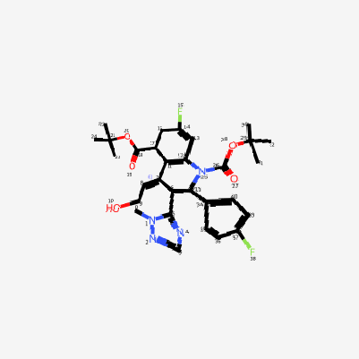 Cn1ncnc1C1/C(=C\CO)C2=C(C=C(F)CC2C(=O)OC(C)(C)C)N(C(=O)OC(C)(C)C)C1c1ccc(F)cc1